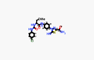 COCC(NC(=O)Nc1ccc(Cl)cc1)C(=O)Nc1ccc(-n2nc(C(N)=O)sc2=N)cc1